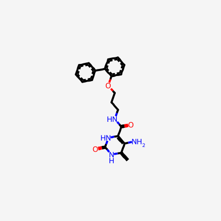 C=C1NC(=O)NC(C(=O)NCCCOc2ccccc2-c2ccccc2)=C1N